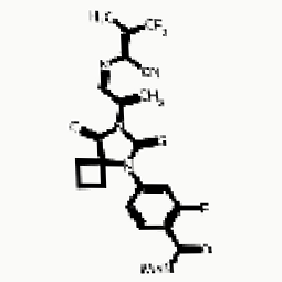 C=C(/C=N\C(C#N)=C(/C)C(F)(F)F)N1C(=O)C2(CCC2)N(c2ccc(C(=O)NC)c(F)c2)C1=S